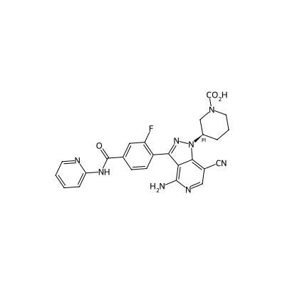 N#Cc1cnc(N)c2c(-c3ccc(C(=O)Nc4ccccn4)cc3F)nn([C@@H]3CCCN(C(=O)O)C3)c12